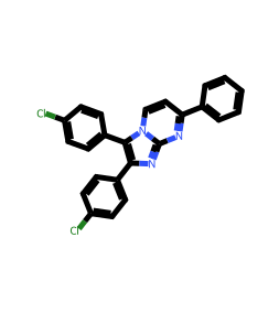 Clc1ccc(-c2nc3nc(-c4ccccc4)ccn3c2-c2ccc(Cl)cc2)cc1